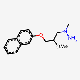 COC(COc1ccc2ccccc2c1)CN(C)N